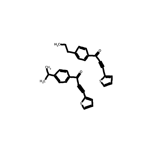 CC(C)c1ccc(C(=O)C#Cc2cccs2)cc1.CCCc1ccc(C(=O)C#Cc2cccs2)cc1